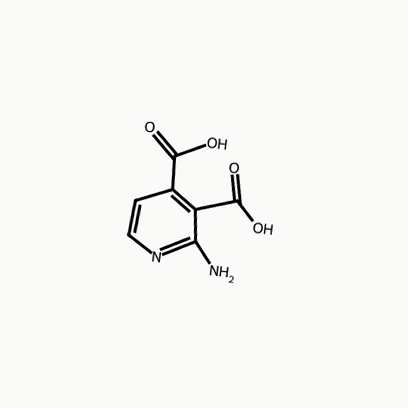 Nc1nccc(C(=O)O)c1C(=O)O